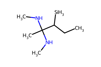 CCC([SiH3])C(C)(NC)NC